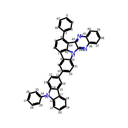 c1ccc(-c2ccc3c4cc(-c5ccc6c(c5)c5ccccc5n6-c5ccccc5)ccc4n4c5nc6ccccc6nc5c2c34)cc1